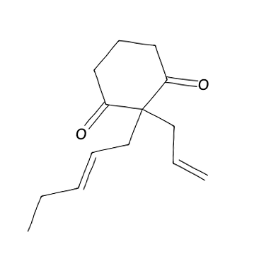 C=CCC1(C/C=C/CC)C(=O)CCCC1=O